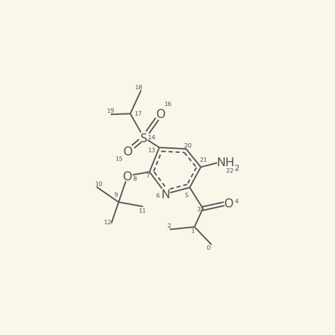 CC(C)C(=O)c1nc(OC(C)(C)C)c(S(=O)(=O)C(C)C)cc1N